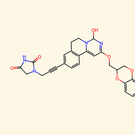 O=C1CN(CC#Cc2ccc3c(c2)CCN2C3=CC(OCC3COc4ncccc4O3)=NC2O)C(=O)N1